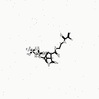 C=C(I)C(=O)OCCOC(=O)C1C2OC3C(OC(=O)C31)C2OS(=O)(=O)NS(=O)(=O)C(F)(F)F